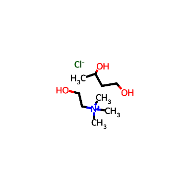 CC(O)CCO.C[N+](C)(C)CCO.[Cl-]